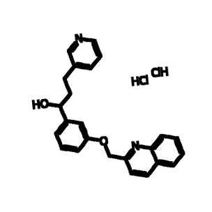 Cl.Cl.OC(CCc1cccnc1)c1cccc(OCc2ccc3ccccc3n2)c1